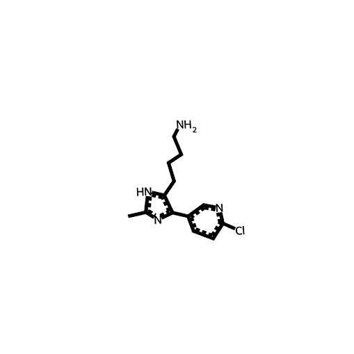 Cc1nc(-c2ccc(Cl)nc2)c(CCCCN)[nH]1